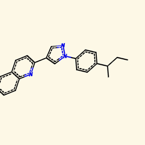 CCC(C)c1ccc(-n2cc(-c3ccc4ccccc4n3)cn2)cc1